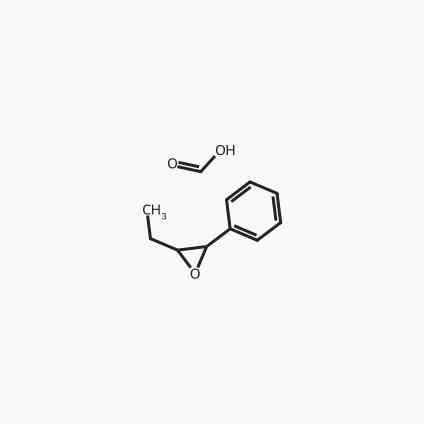 CCC1OC1c1ccccc1.O=CO